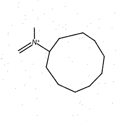 C=[N+](C)C1CCCCCCCCC1